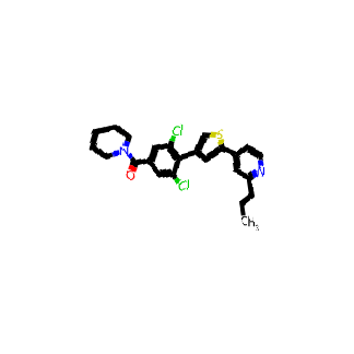 CCCc1cc(-c2cc(-c3c(Cl)cc(C(=O)N4CCCCC4)cc3Cl)cs2)ccn1